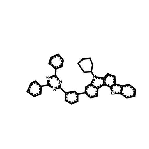 c1ccc(-c2nc(-c3ccccc3)nc(-c3cccc(-c4ccc5c6c7oc8ccccc8c7ccc6n(C6CCCCC6)c5c4)c3)n2)cc1